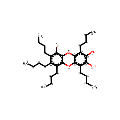 CCCCc1c(Br)c2c(c(CCCC)c1CCCC)Oc1c(CCCC)c(O)c(O)c(CCCC)c1O2